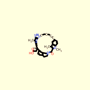 Cc1c2n(C)c3ccc(cc13)CCCCCCn1nnc3c(C)c(cnc31)[C@@H](CC(=O)O)c1ccc3c(c1)CN(CC3)C2=O